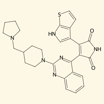 O=C1NC(=O)C(c2c[nH]c3sccc23)=C1c1nc(N2CCC(CN3CCCC3)CC2)nc2ccccc12